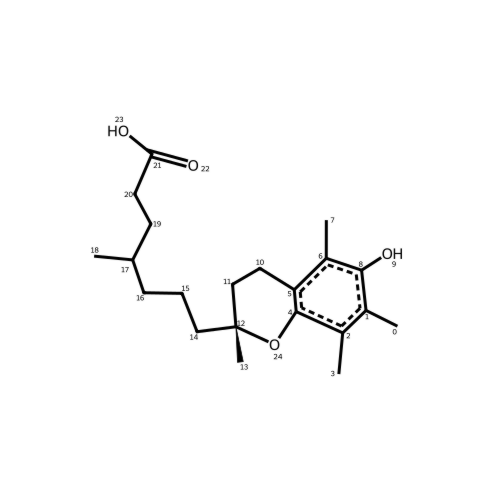 Cc1c(C)c2c(c(C)c1O)CC[C@@](C)(CCCC(C)CCC(=O)O)O2